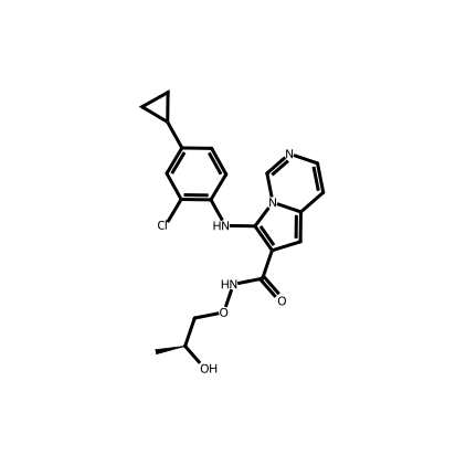 C[C@H](O)CONC(=O)c1cc2ccncn2c1Nc1ccc(C2CC2)cc1Cl